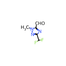 Cn1nc(C(F)F)nc1C=O